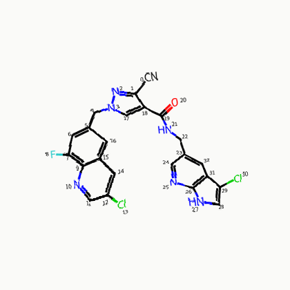 N#Cc1nn(Cc2cc(F)c3ncc(Cl)cc3c2)cc1C(=O)NCc1cnc2[nH]cc(Cl)c2c1